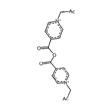 CC(=O)C[n+]1ccc(C(=O)OC(=O)c2cc[n+](CC(C)=O)cc2)cc1